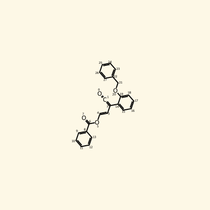 O=C=C(C=COC(=O)c1ccccc1)c1ccccc1OCc1ccccc1